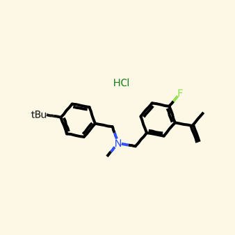 C=C(C)c1cc(CN(C)Cc2ccc(C(C)(C)C)cc2)ccc1F.Cl